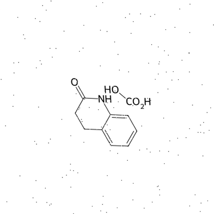 O=C(O)O.O=C1CCc2ccccc2N1